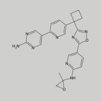 CC1(Nc2ccc(-c3nc(C4(c5ccc(-c6cnc(N)nc6)nc5)CCC4)no3)cn2)CO1